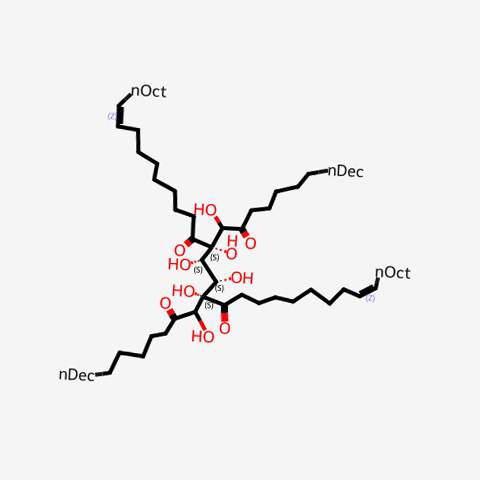 CCCCCCCC/C=C\CCCCCCCC(=O)[C@@](O)(C(O)C(=O)CCCCCCCCCCCCCCC)[C@@H](O)[C@H](O)[C@@](O)(C(=O)CCCCCCC/C=C\CCCCCCCC)C(O)C(=O)CCCCCCCCCCCCCCC